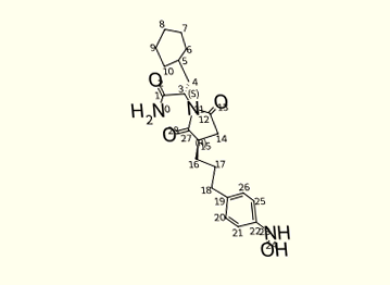 NC(=O)[C@H](CC1CCCCC1)N1C(=O)C[C@@H](CCCc2ccc(NO)cc2)C1=O